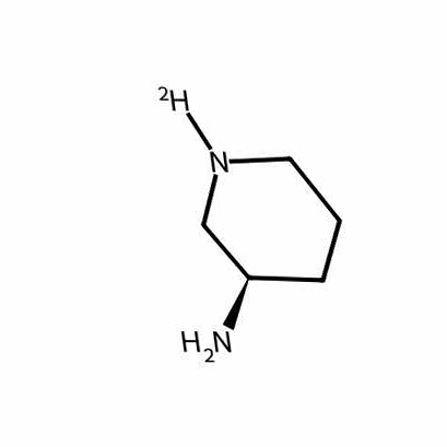 [2H]N1CCC[C@@H](N)C1